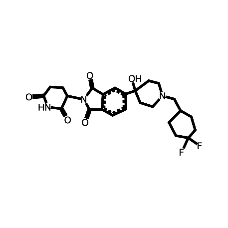 O=C1CCC(N2C(=O)c3ccc(C4(O)CCN(CC5CCC(F)(F)CC5)CC4)cc3C2=O)C(=O)N1